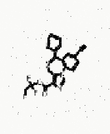 C#Cc1ccc2c(c1)C(c1ccccc1)=NCc1c(C(=O)OC(F)(F)CF)ncn1-2